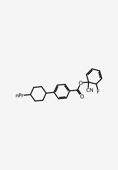 CCCC1CCC(c2ccc(C(=O)OC3(C#N)C=CC=CC3F)cc2)CC1